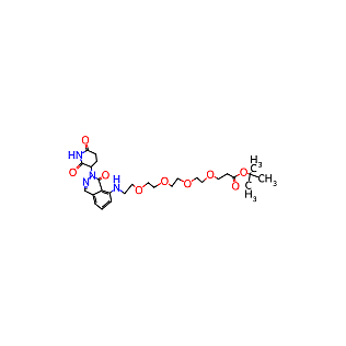 CC(C)(C)OC(=O)CCOCCOCCOCCOCCNc1cccc2cnn(C3CCC(=O)NC3=O)c(=O)c12